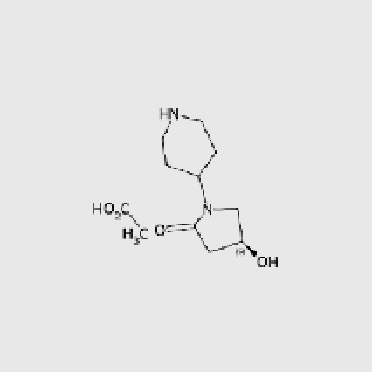 CC(=O)O.O=C1C[C@H](O)CN1C1CCNCC1